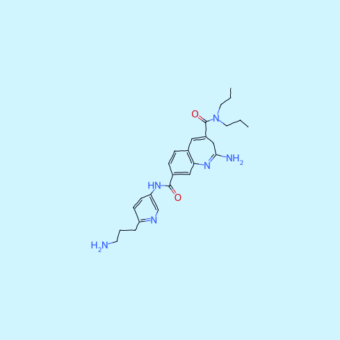 CCCN(CCC)C(=O)C1=Cc2ccc(C(=O)Nc3ccc(CCCN)nc3)cc2N=C(N)C1